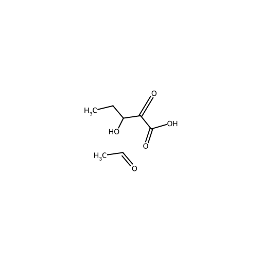 CC=O.CCC(O)C(=O)C(=O)O